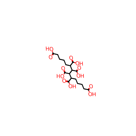 O=C(O)CCCCC(C(=O)O)C(C(=O)O)C(C(=O)O)C(CCCCC(=O)O)C(=O)O